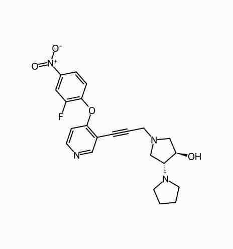 O=[N+]([O-])c1ccc(Oc2ccncc2C#CCN2C[C@@H](O)[C@H](N3CCCC3)C2)c(F)c1